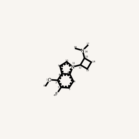 COc1c(F)ccc2c1ccn2C1CCC1N(C)C